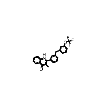 Cc1c(-c2cccc(Cc3cccc(OC(F)(F)F)c3)c2)[nH]c2ccccc2c1=O